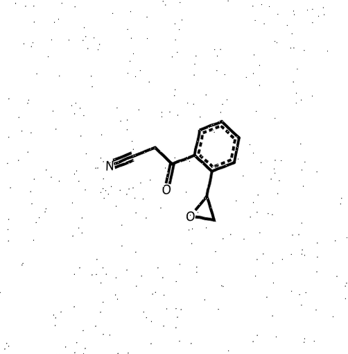 N#CCC(=O)c1ccccc1C1CO1